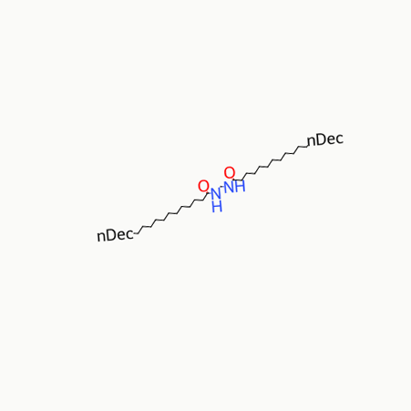 CCCCCCCCCCCCCCCCCCCCCC(=O)NCNC(=O)CCCCCCCCCCCCCCCCCCCCC